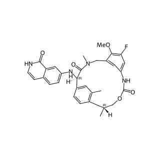 COc1c(F)cc2cc1CN(C)C(=O)[C@H](Nc1ccc3cc[nH]c(=O)c3c1)c1ccc(c(C)c1)[C@@H](C)COC(=O)N2